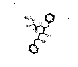 CC[C@H](C)[C@H](NC(=O)O)C(=O)N[C@@H](Cc1ccccc1)[C@@H](O)C[C@@H](N)Cc1ccccc1